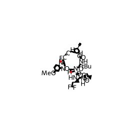 C#C[C@@H]1C[C@H]2CCCCC(F)(F)c3nc4ccc(OC)cc4nc3O[C@@H]3C[C@@H](C(=O)N[C@]4(C(=O)NS(=O)(=O)C5(C)CC5)C[C@H]4CC(F)F)N(C3)C(=O)[C@H](C(C)(C)C)NC(=O)O[C@@H]2C1